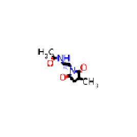 CC(=O)N/C=C/N1C(=O)CC(C)C1=O